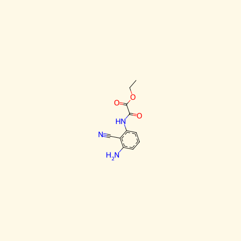 CCOC(=O)C(=O)Nc1cccc(N)c1C#N